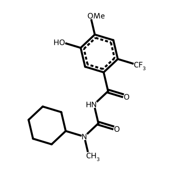 COc1cc(C(F)(F)F)c(C(=O)NC(=O)N(C)C2CCCCC2)cc1O